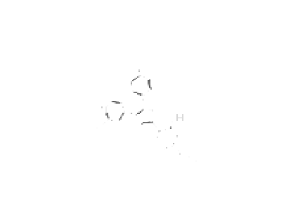 CC1CN(C(=O)O)CCC1c1cc(-c2ccnc(Br)c2)c(-c2ccc(F)cc2)[nH]1